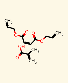 C=C(C)C(=O)O.C=CCOC(=O)/C=C\C(=O)OCC=C